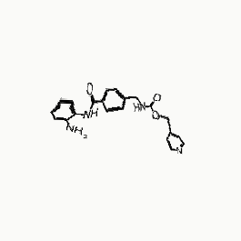 Nc1ccccc1NC(=O)c1ccc(CNC(=O)OCc2ccncc2)cc1